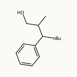 CCCCC(c1ccccc1)C(C)CO